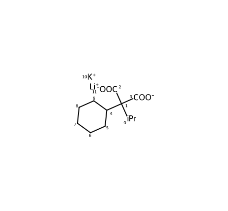 CC(C)C(C(=O)[O-])(C(=O)[O-])C1CCCCC1.[K+].[Li+]